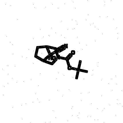 CC(C)(C)OC(=O)N1CC2CCC(C1)C2(O)C#N